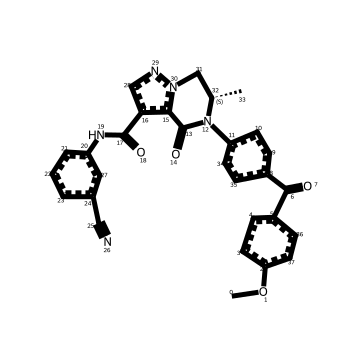 COc1ccc(C(=O)c2ccc(N3C(=O)c4c(C(=O)Nc5cccc(C#N)c5)cnn4C[C@@H]3C)cc2)cc1